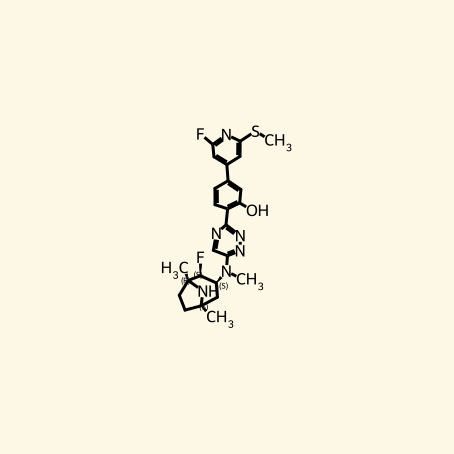 CSc1cc(-c2ccc(-c3ncc(N(C)[C@H]4C[C@]5(C)CC[C@@](C)(N5)[C@H]4F)nn3)c(O)c2)cc(F)n1